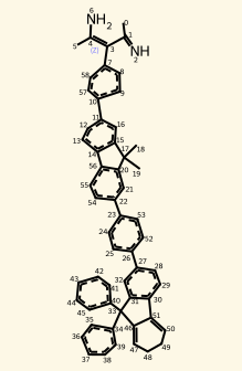 CC(=N)/C(=C(/C)N)c1ccc(-c2ccc3c(c2)C(C)(C)c2cc(-c4ccc(-c5ccc6c(c5)C(c5ccccc5)(c5ccccc5)C5=CCCC=C56)cc4)ccc2-3)cc1